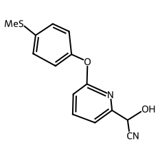 CSc1ccc(Oc2cccc(C(O)C#N)n2)cc1